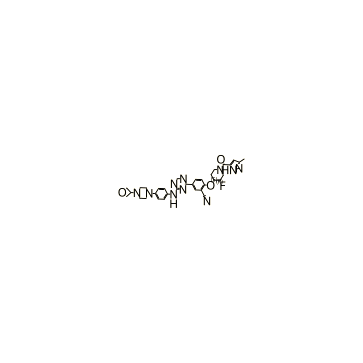 Cc1cc(C(=O)N2CC[C@H](Oc3ccc(-c4ncnc(Nc5ccc(N6CCN(C7COC7)CC6)cc5)n4)cc3C#N)[C@H](F)C2)[nH]n1